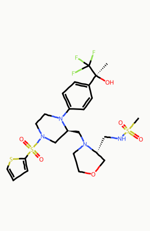 C[C@](O)(c1ccc(N2CCN(S(=O)(=O)c3cccs3)C[C@@H]2CN2CCOC[C@H]2CNS(C)(=O)=O)cc1)C(F)(F)F